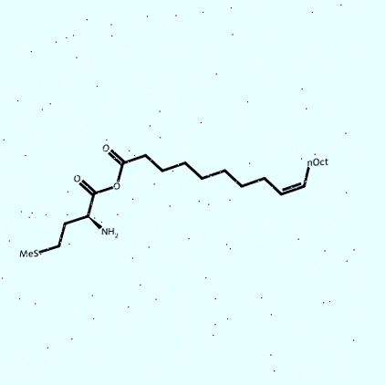 CCCCCCCC/C=C\CCCCCCCC(=O)OC(=O)[C@@H](N)CCSC